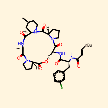 CCCC/C=C/C(=O)N[C@@H](Cc1cccc(F)c1)C(=O)N[C@H]1COC(=O)[C@@H]2CCCN2C(=O)[C@H](C)NC(=O)[C@H]2CC(C)CCN2C(=O)[C@@H]2CCCN2C1=O